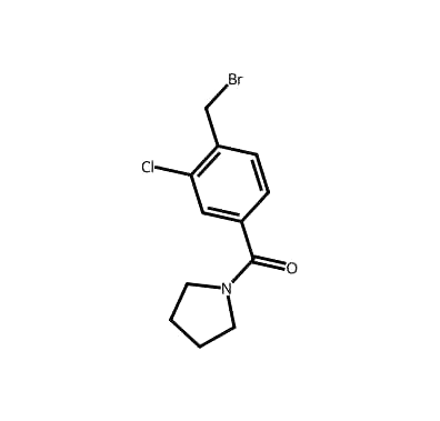 O=C(c1ccc(CBr)c(Cl)c1)N1CCCC1